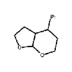 CC(C)C1CCOC2OCCC21